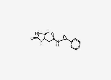 O=C(CC1NC(=O)NC1=O)NC1CC1c1ccccc1